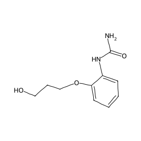 NC(=O)Nc1ccccc1OCCCO